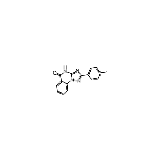 Cc1ccc(-c2nc3[nH]c(=O)c4ccccc4n3n2)cc1